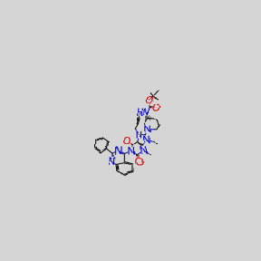 CC#CCN1c2c(n(C)c(=O)n(-c3nc(-c4ccccc4)nc4ccccc34)c2=O)N(C)C1N1CCC[C@@H](NC(=O)OC(C)(C)C)C1